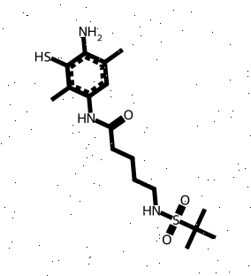 Cc1cc(NC(=O)CCCCNS(=O)(=O)C(C)(C)C)c(C)c(S)c1N